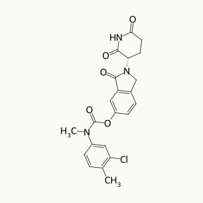 Cc1ccc(N(C)C(=O)Oc2ccc3c(c2)C(=O)N([C@H]2CCC(=O)NC2=O)C3)cc1Cl